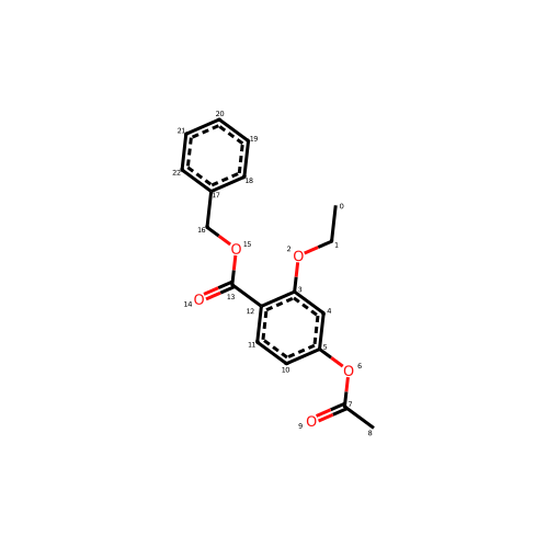 CCOc1cc(OC(C)=O)ccc1C(=O)OCc1ccccc1